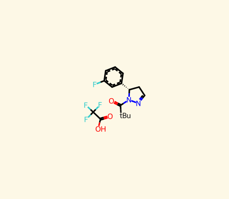 CC(C)(C)C(=O)N1N=CC[C@H]1c1cccc(F)c1.O=C(O)C(F)(F)F